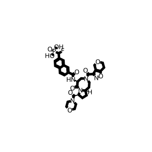 O=C(N[C@H]1CN(C(=O)c2noc3c2COCC3)CC[C@H]2CC[C@@H](C(=O)N3CCOCC3)N2C1=O)c1ccc2ccc(C(F)P(=O)(O)O)cc2c1